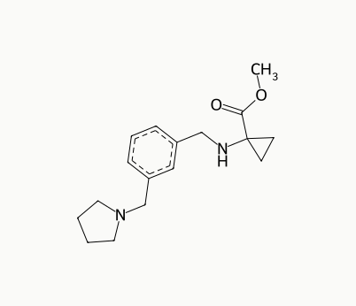 COC(=O)C1(NCc2cccc(CN3CCCC3)c2)CC1